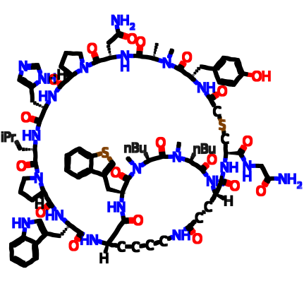 CCCC[C@H]1C(=O)N(C)[C@@H](CCCC)C(=O)N[C@H]2CCC(=O)NCCCC[C@H](NC(=O)[C@H](Cc3c[nH]c4ccccc34)NC(=O)[C@@H]3CCCN3C(=O)[C@H](CC(C)C)NC(=O)[C@H](Cc3cnc[nH]3)NC(=O)[C@@H]3CCCN3C(=O)[C@H](CC(N)=O)NC(=O)[C@H](C)N(C)C(=O)[C@H](Cc3ccc(O)cc3)NC(=O)CSC[C@@H](C(=O)NCC(N)=O)NC2=O)C(=O)N[C@@H](Cc2csc3ccccc23)C(=O)N1C